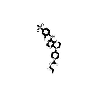 CC[C@H](C)OC(=O)N1CCC(N2CCOc3c(Nc4ccc(S(C)(=O)=O)cc4F)ncnc32)CC1